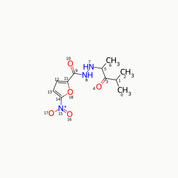 CC(C)C(=O)C(C)NNC(=O)c1ccc([N+](=O)[O-])o1